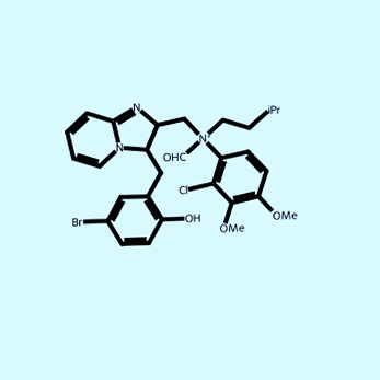 COc1ccc([N+](C=O)(CCC(C)C)CC2N=C3C=CC=CN3C2Cc2cc(Br)ccc2O)c(Cl)c1OC